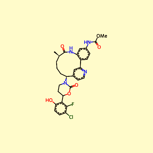 COC(=O)Nc1ccc2c(c1)NC(=O)[C@H](C)CCC[C@H](N1CCC(c3c(O)ccc(Cl)c3F)OC1=O)c1ccnc-2c1